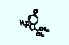 CC(C)C1CCC2(C)C=CC(=O)CCC12